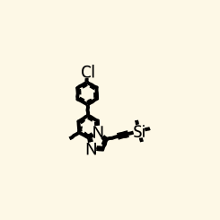 Cc1cc(-c2ccc(Cl)cc2)cn2c(C#C[Si](C)(C)C)cnc12